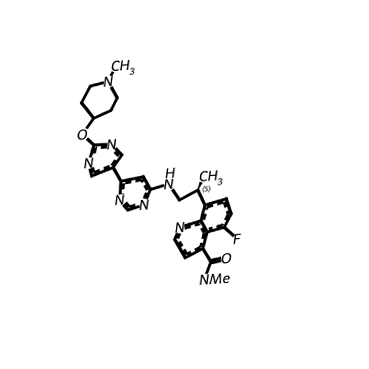 CNC(=O)c1ccnc2c([C@H](C)CNc3cc(-c4cnc(OC5CCN(C)CC5)nc4)ncn3)ccc(F)c12